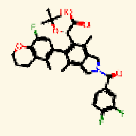 Cc1c(-c2c(C)c3c(c(C)c2[C@H](OC(C)(C)C)C(=O)O)CN(C(=O)c2ccc(F)c(F)c2)C3)cc(F)c2c1CCCO2